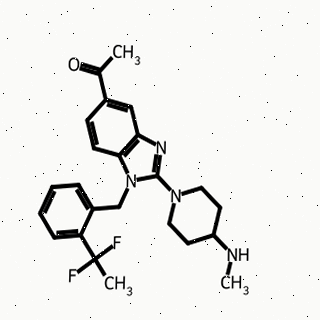 CNC1CCN(c2nc3cc(C(C)=O)ccc3n2Cc2ccccc2C(C)(F)F)CC1